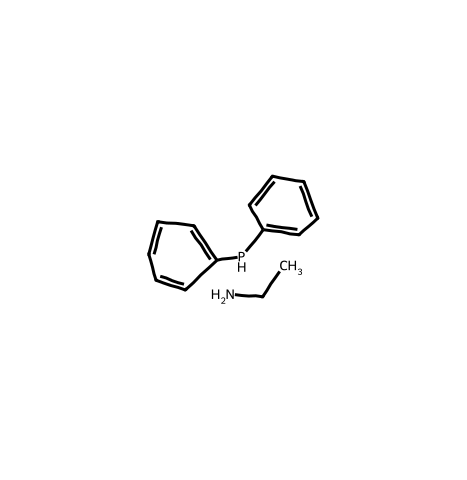 CCN.c1ccc(Pc2ccccc2)cc1